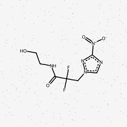 O=C(NCCO)C(F)(F)Cn1cnc([N+](=O)[O-])n1